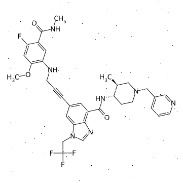 CNC(=O)c1cc(NCC#Cc2cc(C(=O)N[C@H]3CCN(Cc4cccnc4)C[C@@H]3C)c3ncn(CC(F)(F)F)c3c2)c(OC)cc1F